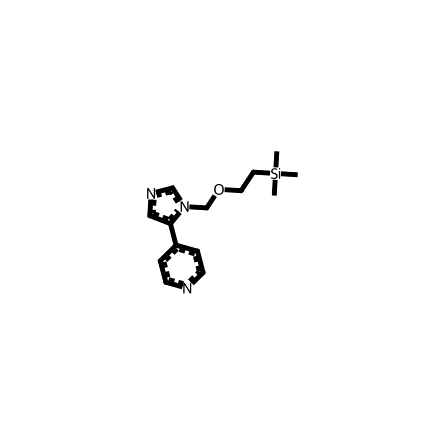 C[Si](C)(C)CCOCn1cncc1-c1ccncc1